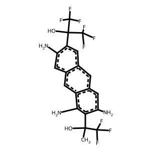 CC(O)(c1c(N)cc2cc3cc(C(O)(C(F)(F)F)C(F)(F)F)c(N)cc3cc2c1N)C(F)(F)F